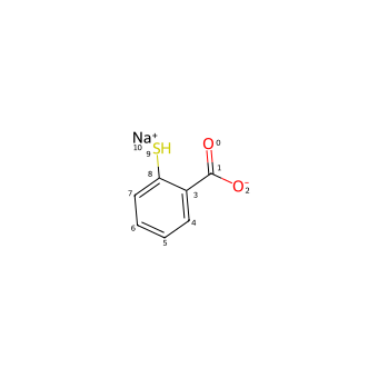 O=C([O-])c1ccccc1S.[Na+]